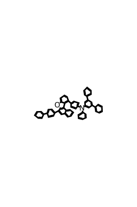 c1ccc(-c2ccc(-c3cc4ccccc4c4c3oc3cccc(-c5ccc(N(c6ccccc6)c6cc(-c7ccccc7)cc(-c7ccccc7)c6)cc5)c34)cc2)cc1